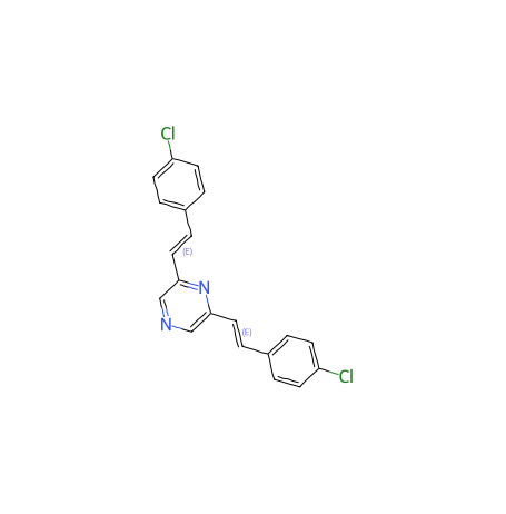 Clc1ccc(/C=C/c2cncc(/C=C/c3ccc(Cl)cc3)n2)cc1